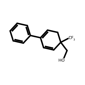 OCC1(C(F)(F)F)C=CC(c2ccccc2)=CC1